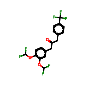 O=C(Cc1ccc(C(F)(F)F)cc1)Cc1ccc(OC(F)F)c(OC(F)F)c1